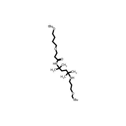 CC(C)(C)COCCCNC(C)(C)CCC(C)(C)NC(=O)CCOCCCCOC(C)(C)C